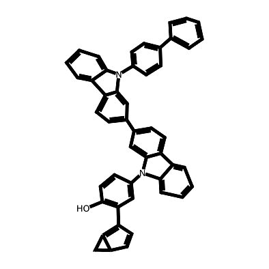 Oc1ccc(-n2c3ccccc3c3ccc(-c4ccc5c6ccccc6n(-c6ccc(-c7ccccc7)cc6)c5c4)cc32)cc1C1=C2CC2C=C1